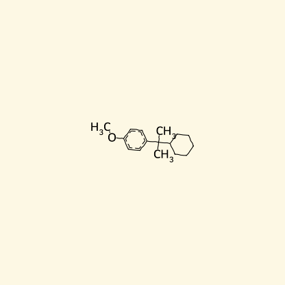 COc1ccc(C(C)(C)C2CCCCC2)cc1